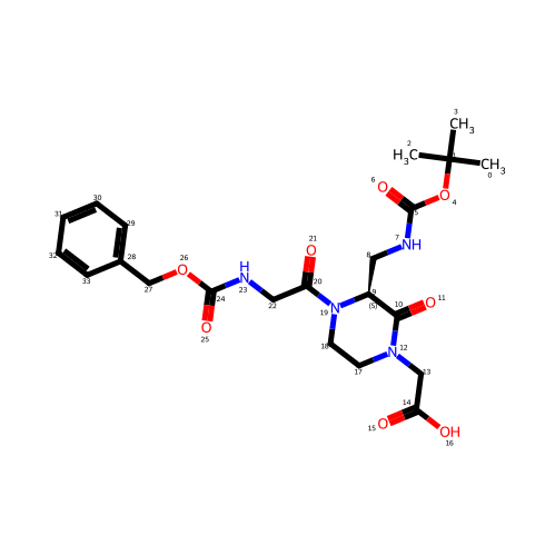 CC(C)(C)OC(=O)NC[C@H]1C(=O)N(CC(=O)O)CCN1C(=O)CNC(=O)OCc1ccccc1